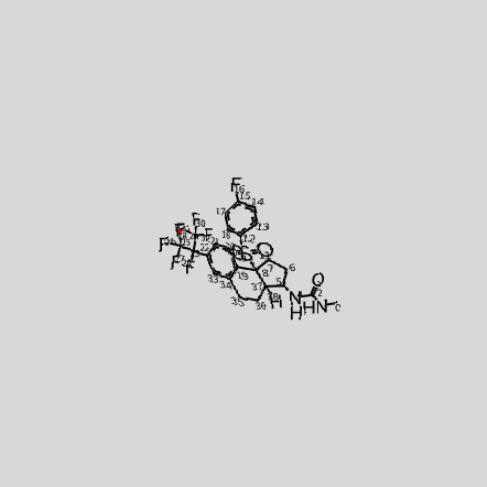 CNC(=O)N[C@@H]1CC[C@@]2(S(=O)(=O)c3ccc(F)cc3)c3ccc(C(F)(C(F)(F)F)C(F)(F)F)cc3CC[C@@H]12